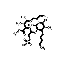 CCCCOC1[C@@H](OC(COS(=O)(=O)O)OC(C(=O)OC)[C@H](C)[C@H](C)OCCCC)C(C)O[C@@H](O)[C@H]1C